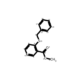 COC(=O)c1cnccc1SCc1ccccc1